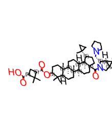 CC1([C@@H]2CC[C@]3(C(=O)N4C[C@H]5[C@@H]([C@H]4CN4CCCC4)C5(C)C)CC[C@]4(C)[C@H](CC[C@@]5(C)[C@@]4(C)CC[C@H]4C(C)(C)[C@@H](OC(=O)[C@H]6C[C@@H](C(=O)O)C6(C)C)CC[C@@]45C)[C@@]23C)CC1